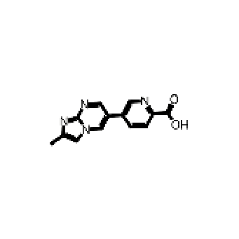 Cc1cn2cc(-c3ccc(C(=O)O)nc3)cnc2n1